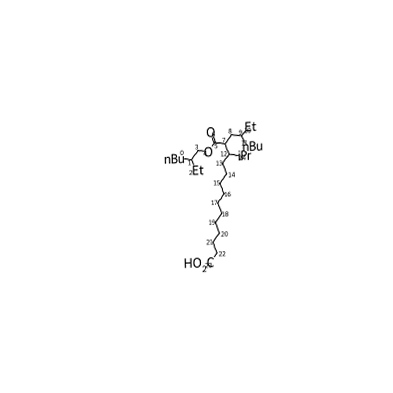 CCCCC(CC)COC(=O)C(CC(CC)CCCC)C(CCCCCCCCCCC(=O)O)C(C)C